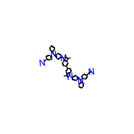 Cc1c(C)n(-c2ccc(N(c3ccccc3)c3ccc(C#N)cc3)cc2)c2ccc(-c3ccc4c(c3)c(C)c(C)n4-c3ccc(N(c4ccccc4)c4ccc(C#N)cc4)cc3)cc12